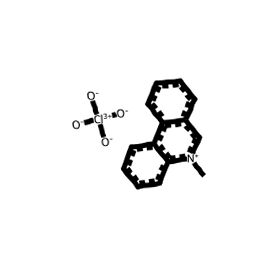 C[n+]1cc2ccccc2c2ccccc21.[O-][Cl+3]([O-])([O-])[O-]